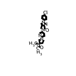 CC(=O)N(C)[C@H]1CCN(c2ccc(N3Cc4cn(-c5ccc(Cl)cc5)nc4C3=O)cn2)C1